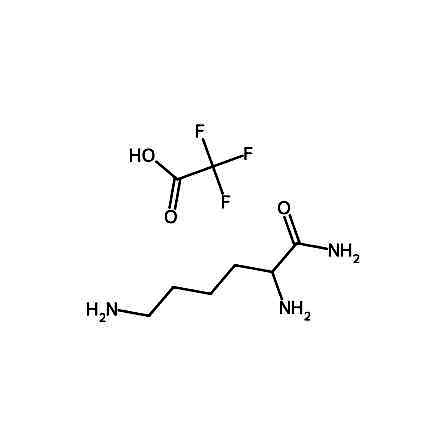 NCCCCC(N)C(N)=O.O=C(O)C(F)(F)F